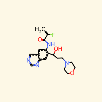 C=C(F)C(=O)Nc1cc2cncnc2cc1C(O)CCN1CCOCC1